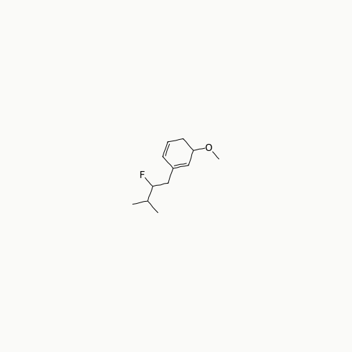 COC1C=C(CC(F)C(C)C)C=CC1